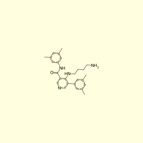 Cc1cc(C)cc(NC(=O)c2cncc(-c3cc(C)cc(C)c3)c2NCCCCN)c1